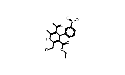 CCOC(=O)C1=C(CCl)NC(C)=C(C(C)=O)C1c1cccc([N+](=O)[O-])c1